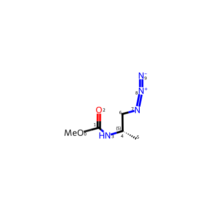 COC(=O)N[C@@H](C)CN=[N+]=[N-]